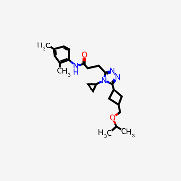 Cc1ccc(NC(=O)CCc2nnc(C3CC(COC(C)C)C3)n2C2CC2)c(C)c1